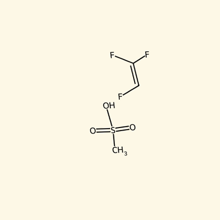 CS(=O)(=O)O.FC=C(F)F